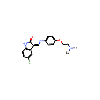 CCN(CC)CCOc1ccc(NC=C2C(=O)Nc3ccc(Cl)cc32)cc1